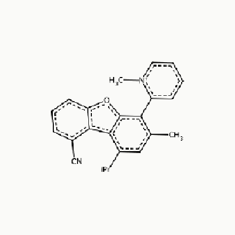 Cc1cc(C(C)C)c2c(oc3cccc(C#N)c32)c1-c1cccc[n+]1C